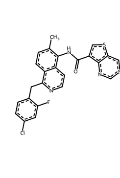 Cc1ccc2c(Cc3ccc(Cl)cc3F)nccc2c1NC(=O)c1csc2cncnc12